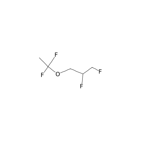 CC(F)(F)OCC(F)CF